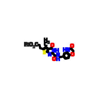 CCOC(=O)CCc1sc2nc(C(=O)NCc3ccc4c(c3)NC(=O)CO4)[nH]c(=O)c2c1C